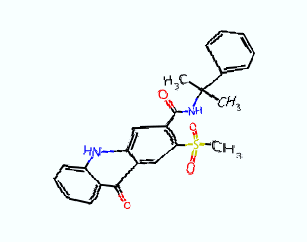 CC(C)(NC(=O)c1cc2[nH]c3ccccc3c(=O)c2cc1S(C)(=O)=O)c1ccccc1